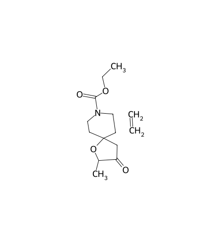 C=C.CCOC(=O)N1CCC2(CC1)CC(=O)C(C)O2